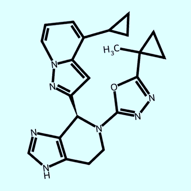 CC1(c2nnc(N3CCc4[nH]cnc4[C@H]3c3cc4c(C5CC5)cccn4n3)o2)CC1